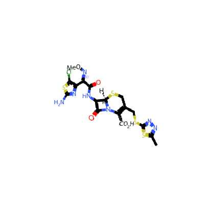 CO/N=C(/C(=O)NC1C(=O)N2C(C(=O)O)=C(CSc3nnc(C)s3)CS[C@H]12)c1nc(N)sc1Cl